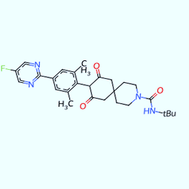 Cc1cc(-c2ncc(F)cn2)cc(C)c1C1C(=O)CC2(CCN(C(=O)NC(C)(C)C)CC2)CC1=O